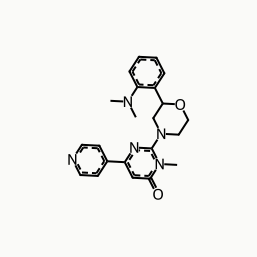 CN(C)c1ccccc1C1CN(c2nc(-c3ccncc3)cc(=O)n2C)CCO1